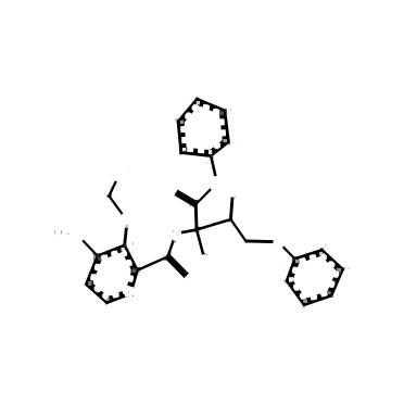 COc1ccnc(C(=O)NC(C)(C(=O)Oc2ccccc2)C(C)CSc2ccccc2)c1OCOC(C)=O